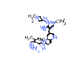 CN/C=C(\C(=N)NC1CN(C)C1)C1=CC2C(=CC=C(N/C(N)=C/C(=C\N)C(C)C)N2C)N=C1